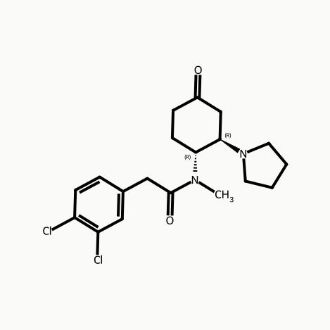 CN(C(=O)Cc1ccc(Cl)c(Cl)c1)[C@@H]1CCC(=O)C[C@H]1N1CCCC1